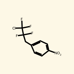 O=[N+]([O-])c1ccc(CC(F)(F)C(F)(F)Cl)cc1